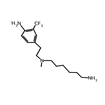 CN(CCCCCCN)CCc1ccc(N)c(C(F)(F)F)c1